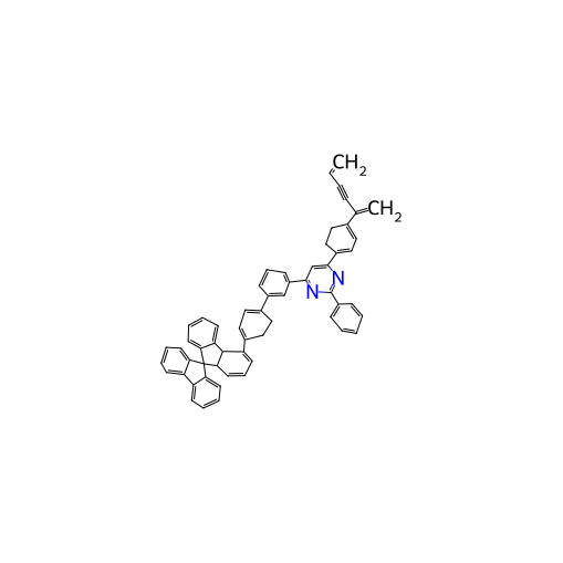 C=CC#CC(=C)C1=CC=C(c2cc(-c3cccc(C4=CC=C(C5=CC=CC6C5c5ccccc5C65c6ccccc6-c6ccccc65)CC4)c3)nc(-c3ccccc3)n2)CC1